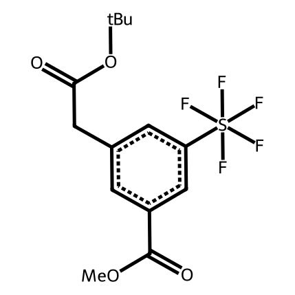 COC(=O)c1cc(CC(=O)OC(C)(C)C)cc(S(F)(F)(F)(F)F)c1